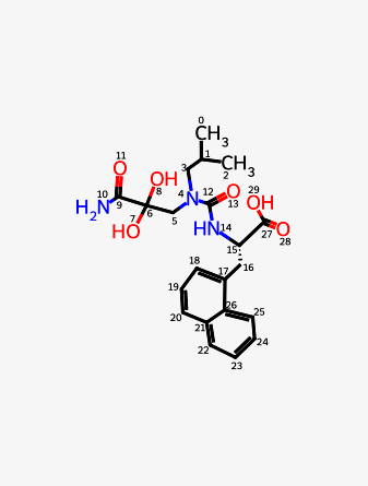 CC(C)CN(CC(O)(O)C(N)=O)C(=O)N[C@@H](Cc1cccc2ccccc12)C(=O)O